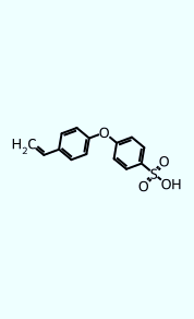 C=Cc1ccc(Oc2ccc(S(=O)(=O)O)cc2)cc1